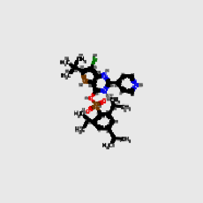 CC(C)c1cc(C(C)C)c(S(=O)(=O)Oc2nc(-c3ccncc3)nc3c(Br)c(C(C)(C)C)sc23)c(C(C)C)c1